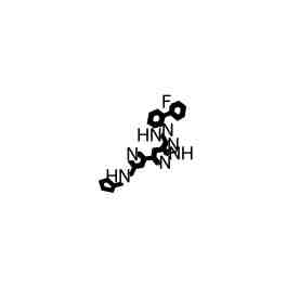 Fc1ccccc1-c1cccc2[nH]c(-c3n[nH]c4ncc(-c5cncc(CNCC6CCCC6)c5)cc34)nc12